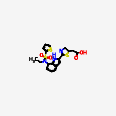 CCN(c1cccc2cc(C3=NCC(CC(=O)O)S3)[nH]c12)S(=O)(=O)c1cccs1